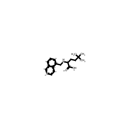 CC(C)(C)CCC(NCc1cccc2cnccc12)C(=O)O